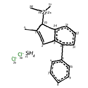 CC1=Cc2c(-c3ccccc3)cccc2[CH]1[Zr+2]([CH3])[CH3].[Cl-].[Cl-].[SiH4]